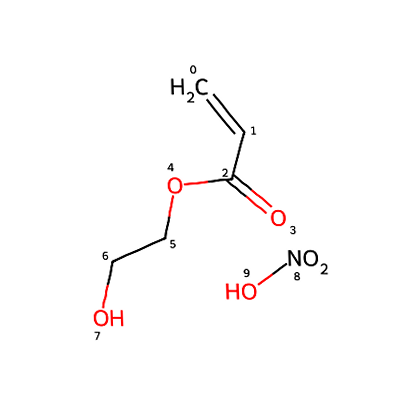 C=CC(=O)OCCO.O=[N+]([O-])O